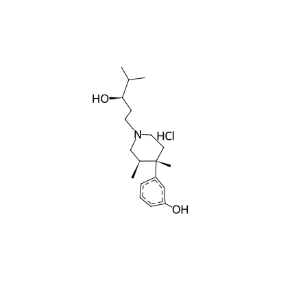 CC(C)[C@H](O)CCN1CC[C@](C)(c2cccc(O)c2)[C@@H](C)C1.Cl